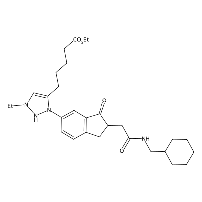 CCOC(=O)CCCCC1=CN(CC)NN1c1ccc2c(c1)C(=O)C(CC(=O)NCC1CCCCC1)C2